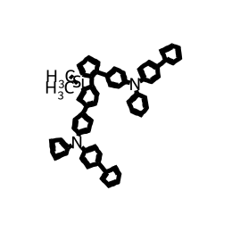 C[Si]1(C)c2cc(-c3ccc(N(c4ccccc4)c4ccc(-c5ccccc5)cc4)cc3)ccc2-c2c(-c3ccc(N(c4ccccc4)c4ccc(-c5ccccc5)cc4)cc3)cccc21